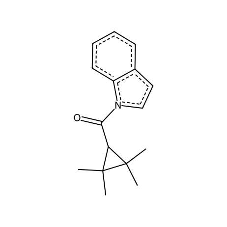 CC1(C)C(C(=O)n2ccc3ccccc32)C1(C)C